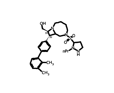 CCCN1NCCC1S(=O)(=O)N1CCCCN2C(C1)[C@H](c1ccc(-c3cccc(C)c3C)cc1)[C@H]2CO